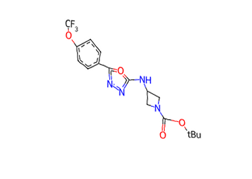 CC(C)(C)OC(=O)N1CC(Nc2nnc(-c3ccc(OC(F)(F)F)cc3)o2)C1